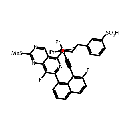 CSc1ncc2c(NCCc3cccc(S(=O)(=O)O)c3)nc(-c3cccc4ccc(F)c(C#C[Si](C(C)C)(C(C)C)C(C)C)c34)c(F)c2n1